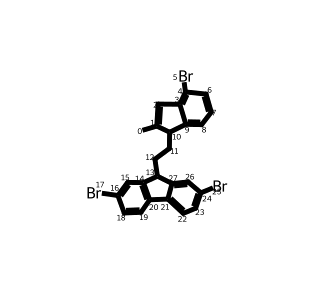 CC1=Cc2c(Br)cccc2C1CCC1c2cc(Br)ccc2-c2ccc(Br)cc21